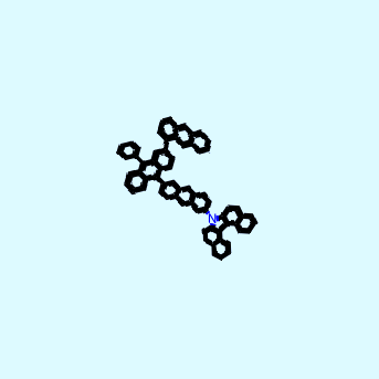 c1ccc(-c2c3ccccc3c(-c3ccc4cc5cc(-n6c7ccc8ccccc8c7c7c8ccccc8ccc76)ccc5cc4c3)c3ccc(-c4cccc5cc6ccccc6cc45)cc23)cc1